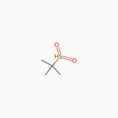 CC(C)(C)[SH](=O)=O